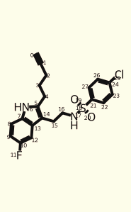 C#CCCCc1[nH]c2ccc(F)cc2c1CCNS(=O)(=O)c1ccc(Cl)cc1